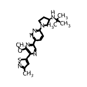 COc1nc(-c2ccc(N3CC[C@@H](NC(C)(C)C)C3)nn2)cnc1-c1cc(C)ns1